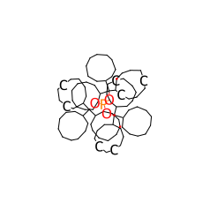 C1CCCCC(C(OP(OC(C2CCCCCCCCC2)(C2CCCCCCCCC2)C2CCCCCCCCC2)OC(C2CCCCCCCCC2)(C2CCCCCCCCC2)C2CCCCCCCCC2)(C2CCCCCCCCC2)C2CCCCCCCCC2)CCCC1